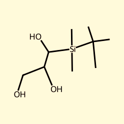 CC(C)(C)[Si](C)(C)C(O)C(O)CO